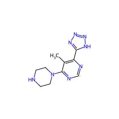 Cc1c(-c2nnn[nH]2)n[c]nc1N1CCNCC1